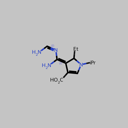 CCC1/C(=C(N)\N=C/N)C(C(=O)O)=CN1C(C)C